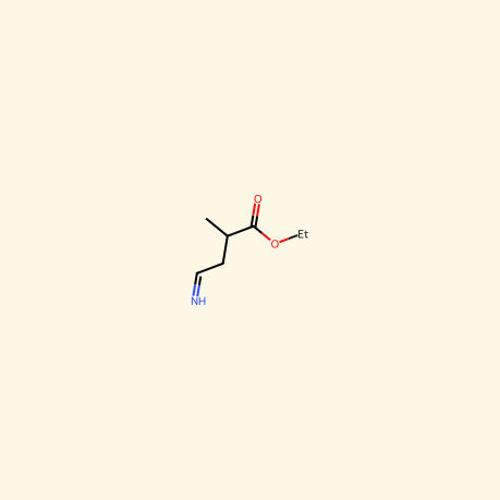 [CH2]COC(=O)C(C)CC=N